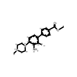 COC(=O)c1ccc(-c2ccc(N3CCN(C)CC3)c(N)c2F)cc1